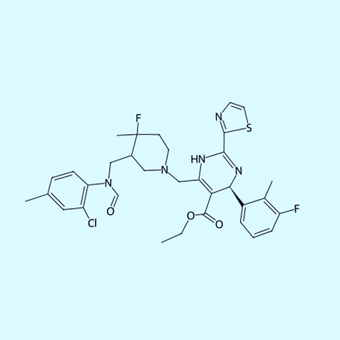 CCOC(=O)C1=C(CN2CCC(C)(F)C(CN(C=O)c3ccc(C)cc3Cl)C2)NC(c2nccs2)=N[C@H]1c1cccc(F)c1C